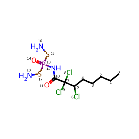 CCCCCC(Cl)C(Cl)(Cl)C(=O)NP(=O)(SN)SN